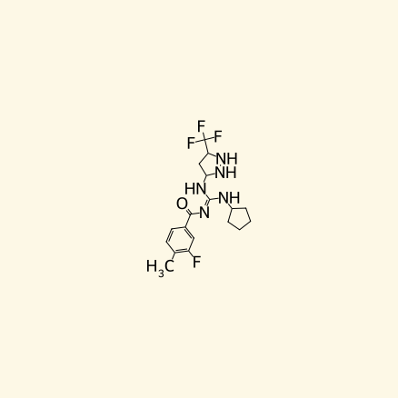 Cc1ccc(C(=O)/N=C(/NC2CCCC2)NC2CC(C(F)(F)F)NN2)cc1F